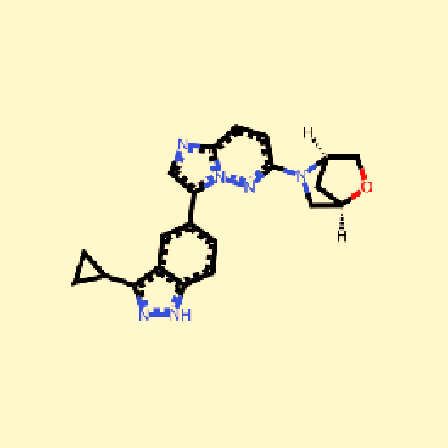 c1cc2[nH]nc(C3CC3)c2cc1-c1cnc2ccc(N3C[C@H]4C[C@@H]3CO4)nn12